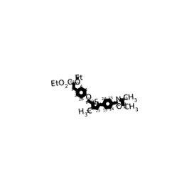 CCOC(=O)C(Cc1ccc(OCc2sc(-c3ccc(-c4nc(C)c(C)o4)cc3)cc2C)cc1)OCC